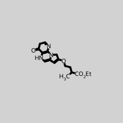 CCOC(=O)C(C)CCOC1=CC2=CNC3=C(N=CCC3=O)N2C1